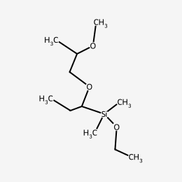 CCO[Si](C)(C)C(CC)OCC(C)OC